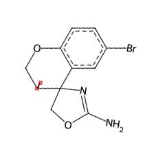 NC1=NC2(CO1)c1cc(Br)ccc1OCC21CCC1